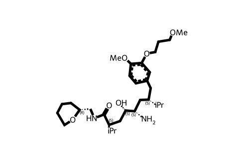 COCCCOc1cc(C[C@@H](C[C@H](N)[C@@H](O)C[C@H](C(=O)NC[C@H]2CCCCO2)C(C)C)C(C)C)ccc1OC